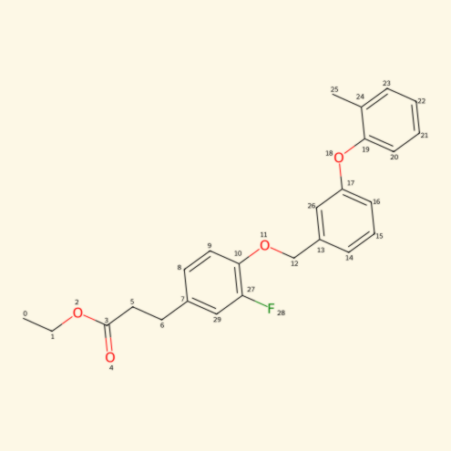 CCOC(=O)CCc1ccc(OCc2cccc(Oc3ccccc3C)c2)c(F)c1